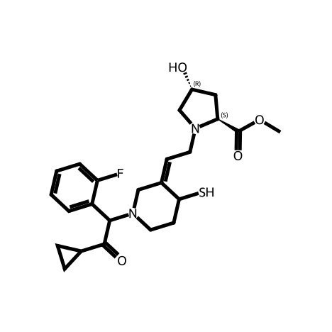 COC(=O)[C@@H]1C[C@@H](O)CN1CC=C1CN(C(C(=O)C2CC2)c2ccccc2F)CCC1S